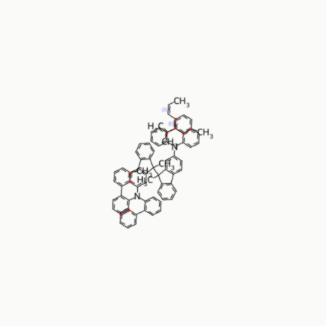 C=C(C)/C(=C\C=C/C)c1ccccc1N(c1ccc2c(c1)C(C)(C1(C)c3ccccc3-c3ccc(N(c4ccccc4-c4c#cccc4)c4ccccc4-c4cccc(C)c4)cc31)c1ccccc1-2)c1ccccc1-c1cccc(C)c1